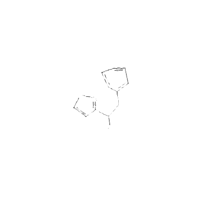 CC(Cc1ccccc1)c1ccon1